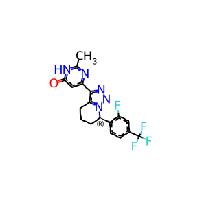 Cc1nc(-c2nnn3c2CCC[C@@H]3c2ccc(C(F)(F)F)cc2F)cc(=O)[nH]1